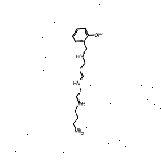 NCCCNCCNCCCNCc1ccccc1O